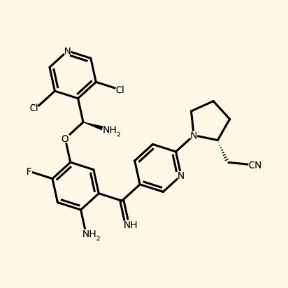 N#CC[C@H]1CCCN1c1ccc(C(=N)c2cc(O[C@H](N)c3c(Cl)cncc3Cl)c(F)cc2N)cn1